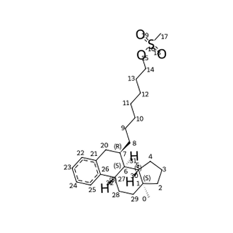 C[C@@]12CCC[C@H]1[C@@H]1[C@H](CCCCCCCOS(C)(=O)=O)Cc3ccccc3[C@H]1CC2